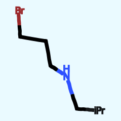 CC(C)CNCCCBr